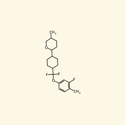 Cc1ccc(OC(F)(F)C2CCC(C3CCC(C)CO3)CC2)cc1F